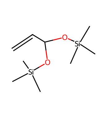 C=CC(O[Si](C)(C)C)O[Si](C)(C)C